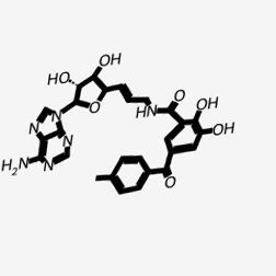 Cc1ccc(C(=O)c2cc(O)c(O)c(C(=O)NCC=CC3OC(n4cnc5c(N)ncnc54)[C@H](O)C3O)c2)cc1